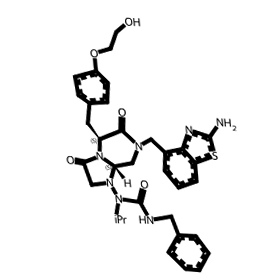 CC(C)N(C(=O)NCc1ccccc1)N1CC(=O)N2[C@@H](Cc3ccc(OCCO)cc3)C(=O)N(Cc3cccc4sc(N)nc34)C[C@@H]21